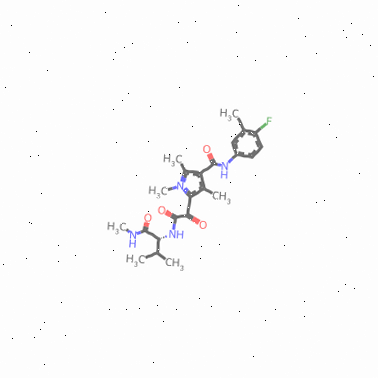 CNC(=O)[C@H](NC(=O)C(=O)c1c(C)c(C(=O)Nc2ccc(F)c(C)c2)c(C)n1C)C(C)C